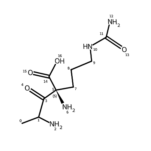 CC(N)C(=O)[C@@](N)(CCCNC(N)=O)C(=O)O